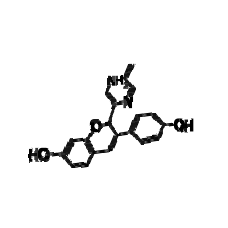 C=C/C=N\C(=C/N)C1Oc2cc(O)ccc2C=C1c1ccc(O)cc1